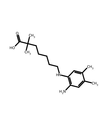 Cc1cc(N)c(NCCCCCC(C)(C)C(=O)O)cc1C